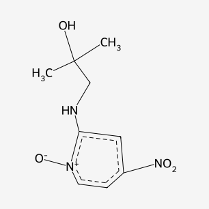 CC(C)(O)CNc1cc([N+](=O)[O-])cc[n+]1[O-]